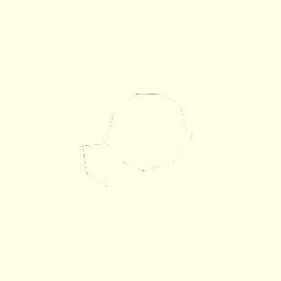 C1CCN2CCCC2CCNC1